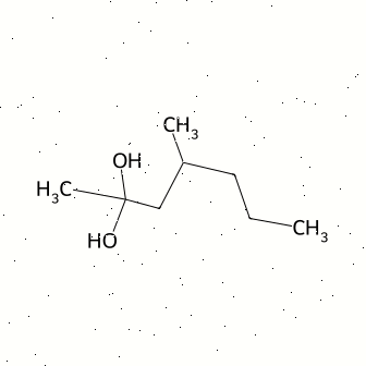 CCCC(C)CC(C)(O)O